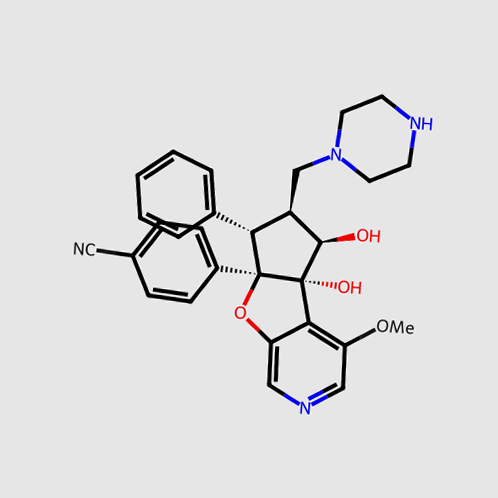 COc1cncc2c1[C@]1(O)[C@H](O)[C@H](CN3CCNCC3)[C@@H](c3ccccc3)[C@]1(c1ccc(C#N)cc1)O2